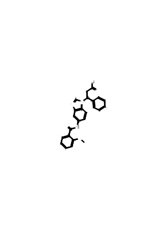 CSc1ccccc1C(=O)Nc1ccc2c(c1)ncn2C(CC(=O)O)c1ccccc1